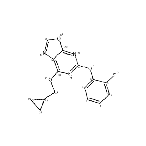 Fc1ccccc1Oc1nc(OCC2CC2)c2ncoc2n1